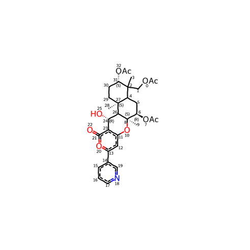 CC(=O)OCC1(C)C2C[C@@H](OC(C)=O)[C@@]3(C)Oc4cc(-c5cccnc5)oc(=O)c4[C@H](O)C3[C@@]2(C)CC[C@@H]1OC(C)=O